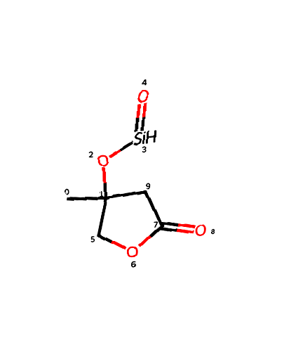 CC1(O[SiH]=O)COC(=O)C1